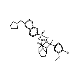 COc1cc(C(F)(F)[C@H](NS(=O)(=O)c2ccc3cc(OC4CCCC4)ccc3c2)C(=O)N2C3CCC2CC(N)C3)ccc1Br